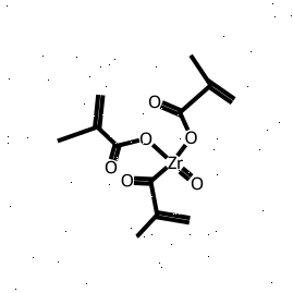 C=C(C)C(=O)[O][Zr](=[O])([O]C(=O)C(=C)C)[C](=O)C(=C)C